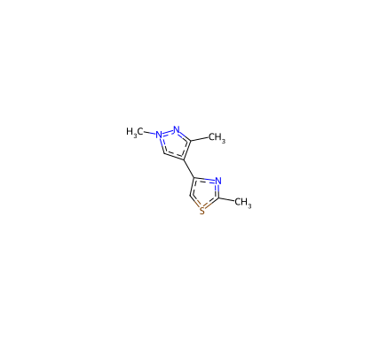 Cc1nc(-c2cn(C)nc2C)cs1